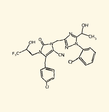 CC(O)c1nc(Cn2c(C#N)c(-c3ccc(Cl)cc3)n(CC(O)C(F)(F)F)c2=O)nn1-c1ccccc1Cl